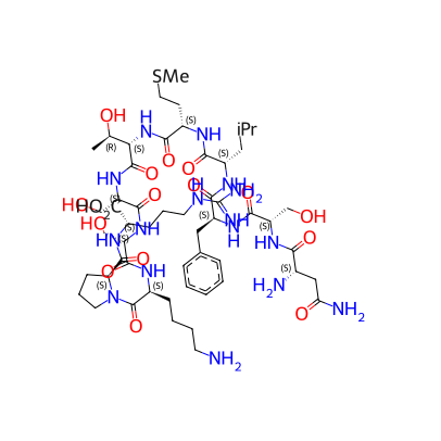 CSCC[C@H](NC(=O)[C@H](CC(C)C)NC(=O)[C@H](Cc1ccccc1)NC(=O)[C@H](CO)NC(=O)[C@@H](N)CC(N)=O)C(=O)N[C@H](C(=O)N[C@@H](CO)C(=O)N[C@@H](CO)C(=O)N[C@@H](CCCCN)C(=O)N1CCC[C@H]1C(=O)N[C@@H](CCCNC(=N)N)C(=O)O)[C@@H](C)O